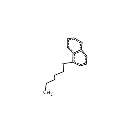 [CH2]CCCC[CH]c1cccc2ccccc12